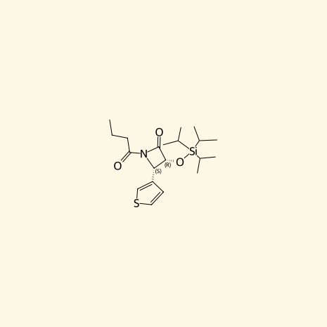 CCCC(=O)N1C(=O)[C@H](O[Si](C(C)C)(C(C)C)C(C)C)[C@@H]1c1ccsc1